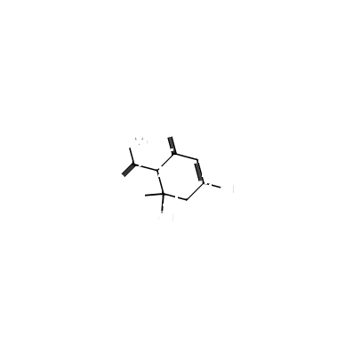 COC(=O)C1C(=O)C=C(O)CC1(C)C